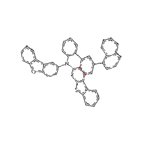 c1cc(-c2ccccc2N(c2ccc3c(c2)sc2ccccc23)c2ccc3oc4ccccc4c3c2)cc(-c2cccc3ccccc23)c1